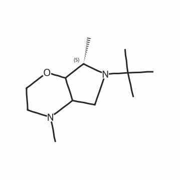 C[C@H]1C2OCCN(C)C2CN1C(C)(C)C